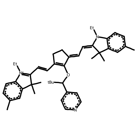 CCN1/C(=C/C=C2\CCC(/C=C/C3=[N+](CC)c4ccc(C)cc4C3(C)C)=C2OC(c2ccncc2)C(C)(C)C)C(C)(C)c2cc(C)ccc21